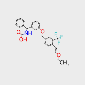 CCO/C=C/c1ccc(COc2cccc([C@@H](NC(=O)O)c3ccccc3)c2)cc1C(F)(F)F